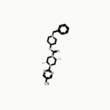 C[C@@H]1CN(c2ncc(C#N)cn2)[C@H](C)CN1C(=O)OC1CCN(Cc2ccccc2)CC1